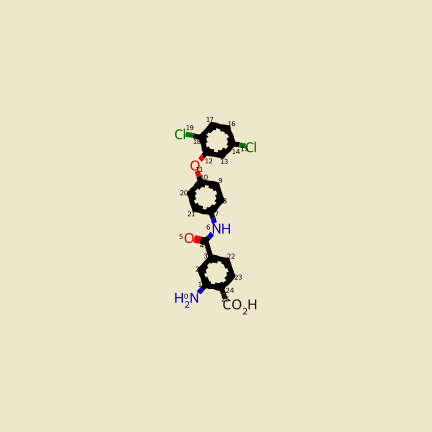 Nc1cc(C(=O)Nc2ccc(Oc3cc(Cl)ccc3Cl)cc2)ccc1C(=O)O